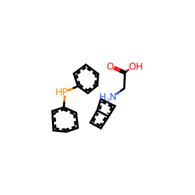 NCC(=O)O.c1cc2ccc1-2.c1ccc(Pc2ccccc2)cc1